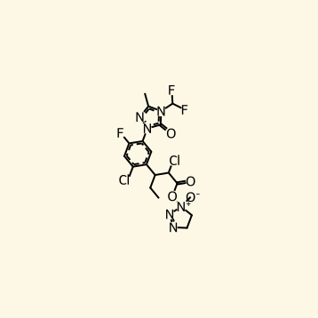 CCC(c1cc(-n2nc(C)n(C(F)F)c2=O)c(F)cc1Cl)C(Cl)C(=O)O[N+]1([O-])CCN=N1